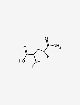 NC(=O)C(F)CC(NI)C(=O)O